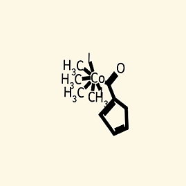 [CH3][Co]([CH3])([CH3])([CH3])([I])([I])[C](=O)C1=CC=CC1